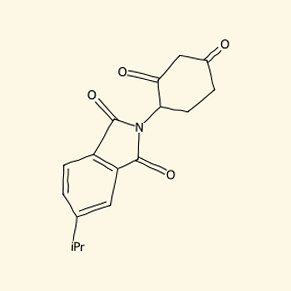 CC(C)c1ccc2c(c1)C(=O)N(C1CCC(=O)CC1=O)C2=O